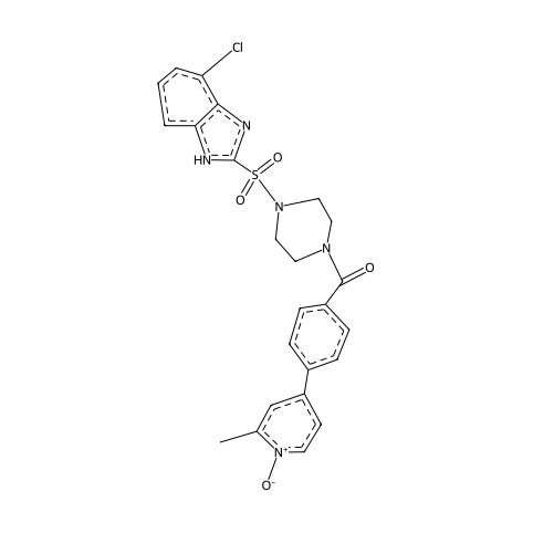 Cc1cc(-c2ccc(C(=O)N3CCN(S(=O)(=O)c4nc5c(Cl)cccc5[nH]4)CC3)cc2)cc[n+]1[O-]